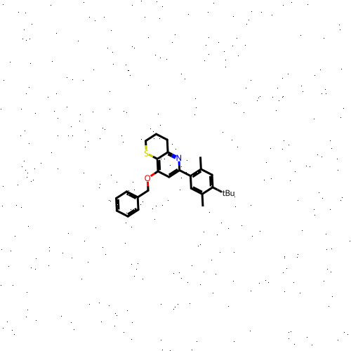 Cc1cc(C(C)(C)C)c(C)cc1-c1cc(OCc2ccccc2)c2c(n1)CCCS2